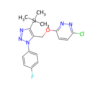 C[Si](C)(C)c1nnn(-c2ccc(F)cc2)c1COc1ccc(Cl)nn1